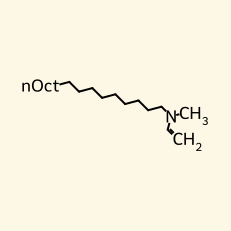 C=CN(C)CCCCCCCCCCCCCCCCC